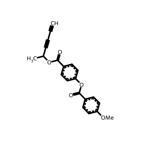 C#CC#CC(C)OC(=O)c1ccc(OC(=O)c2ccc(OC)cc2)cc1